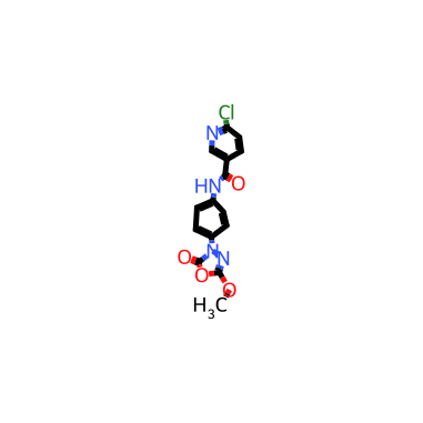 COc1nn(-c2ccc(NC(=O)c3ccc(Cl)nc3)cc2)c(=O)o1